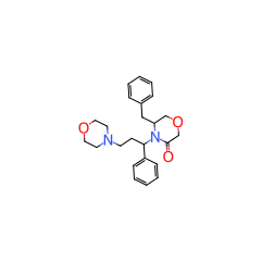 O=C1COCC(Cc2ccccc2)N1C(CCN1CCOCC1)c1ccccc1